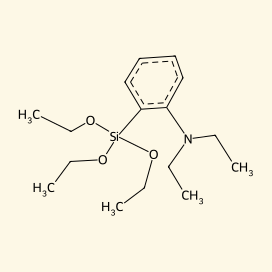 CCO[Si](OCC)(OCC)c1ccccc1N(CC)CC